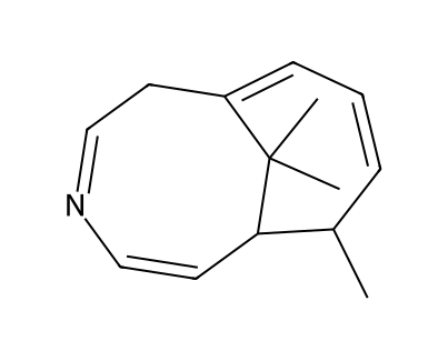 CC1C=CC=C2C/C=N\C=C/C1C2(C)C